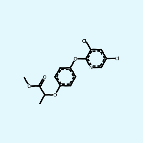 COC(=O)C(C)Oc1ccc(Oc2ncc(Cl)cc2Cl)cc1